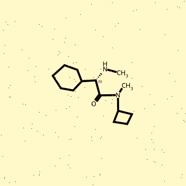 CN[C@H](C(=O)N(C)C1CCC1)C1CCCCC1